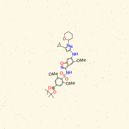 COc1cc2c(NS(=O)(=O)c3c(OC)cc(B4OC(C)(C)C(C)(C)O4)cc3OC)noc2cc1Nc1cc(C2CC2)n(C2CCCCO2)n1